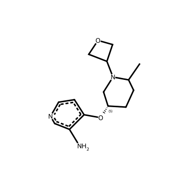 CC1CC[C@H](Oc2ccncc2N)CN1C1COC1